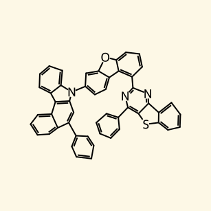 c1ccc(-c2cc3c(c4ccccc24)c2ccccc2n3-c2ccc3c(c2)oc2cccc(-c4nc(-c5ccccc5)c5sc6ccccc6c5n4)c23)cc1